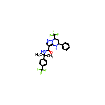 CC(C)(NC(=O)c1cnn2c1NC(c1ccccc1)CC2C(F)(F)F)c1ccc(C(F)(F)F)cc1